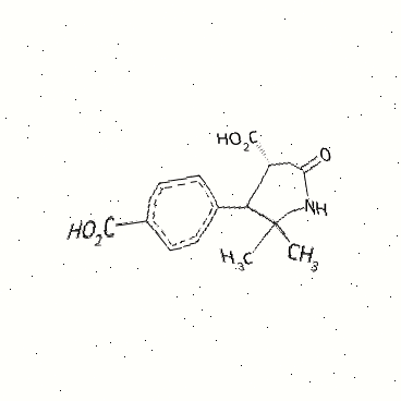 CC1(C)NC(=O)[C@@H](C(=O)O)C1c1ccc(C(=O)O)cc1